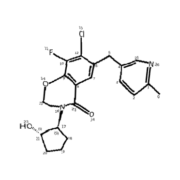 Cc1ccc(Cc2cc3c(c(F)c2Cl)OCN([C@H]2CCC[C@@H]2O)C3=O)cn1